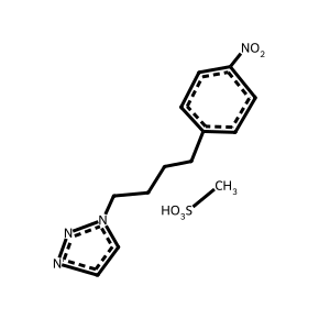 CS(=O)(=O)O.O=[N+]([O-])c1ccc(CCCCn2ccnn2)cc1